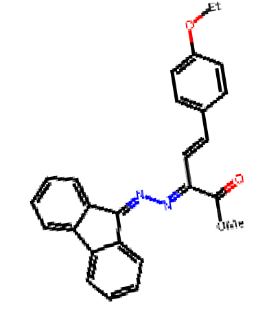 CCOc1ccc(/C=C/C(=N\N=C2c3ccccc3-c3ccccc32)C(=O)OC)cc1